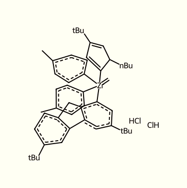 Cl.Cl.[CH2]=[Zr]([C]1=CC(C(C)(C)C)=CC1CCCC)([c]1ccc(C)cc1)([c]1ccc(C)cc1)[c]1cc(C(C)(C)C)cc2c1Cc1ccc(C(C)(C)C)cc1-2